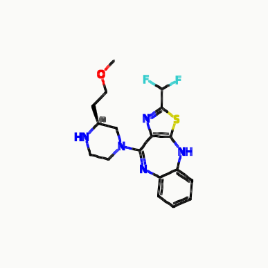 COCC[C@H]1CN(C2=Nc3ccccc3Nc3sc(C(F)F)nc32)CCN1